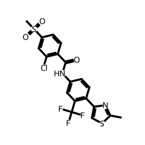 Cc1nc(-c2ccc(NC(=O)c3ccc(S(C)(=O)=O)cc3Cl)cc2C(F)(F)F)cs1